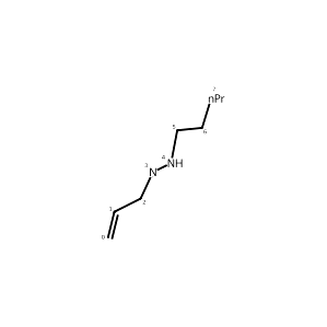 C=CC[N]NCCCCC